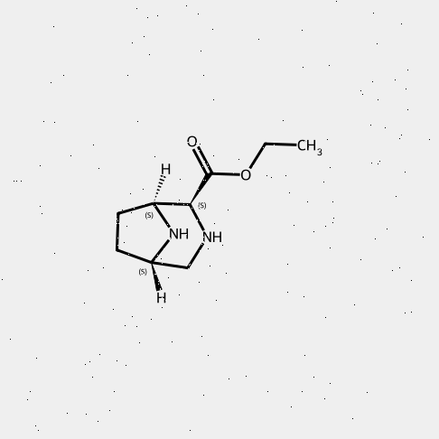 CCOC(=O)[C@H]1NC[C@@H]2CC[C@@H]1N2